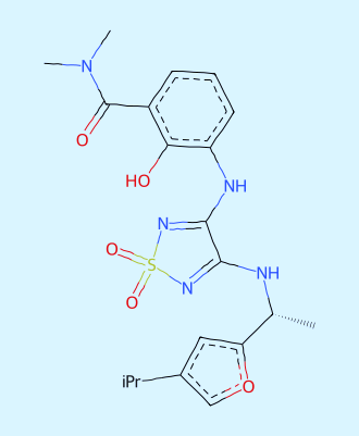 CC(C)c1coc([C@@H](C)NC2=NS(=O)(=O)N=C2Nc2cccc(C(=O)N(C)C)c2O)c1